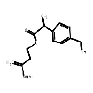 C=C(CCOC(=O)C(C)c1ccc(CC(C)C)cc1)NC(C)=O